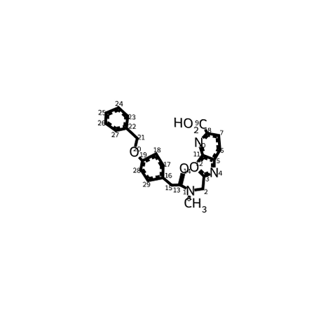 CN(Cc1nc2ccc(C(=O)O)nc2o1)C(=O)Cc1ccc(OCc2ccccc2)cc1